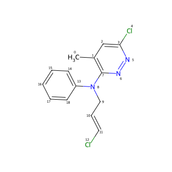 Cc1cc(Cl)nnc1N(C/C=C/Cl)c1ccccc1